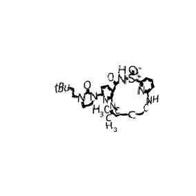 CC(C)(C)CCN1CCN(c2ccc3c(n2)N2CC(CCCNc4cccc(n4)[S+]([O-])NC3=O)CC2(C)C)C1=O